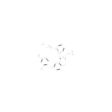 O=C1c2cc(Oc3ccc(F)cc3F)ccc2CCN1C(c1cccc(CNCCF)n1)C1CC1